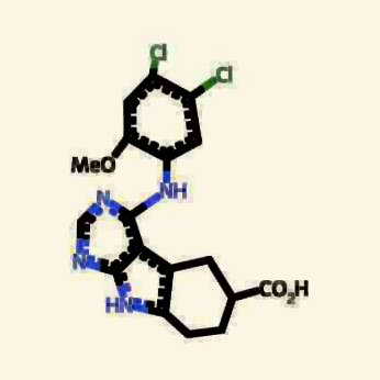 COc1cc(Cl)c(Cl)cc1Nc1ncnc2[nH]c3c(c12)CC(C(=O)O)CC3